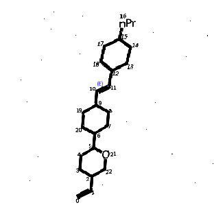 C=CC1CCC(C2CCC(/C=C/C3CCC(CCC)CC3)CC2)OC1